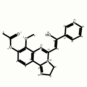 COc1c(OC(C)=O)ccc2c1N=C(C=C(O)c1cccnc1)N1CCN=C21